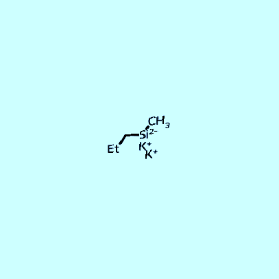 CCC[Si-2]C.[K+].[K+]